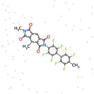 Cc1c(F)c(F)c(-c2c(F)c(F)c(-n3c(=O)c4cc5c(=O)n(C)c(=O)c5c(C)c4c3=O)c(F)c2F)c(F)c1F